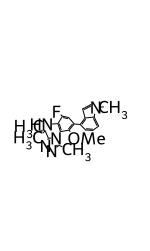 COc1c(-c2cccc3c2ccn3C)cc(F)c2c1-n1c(C)nnc1C(C)(C)N2